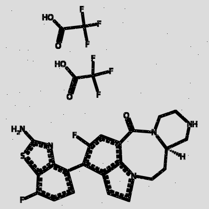 Nc1nc2c(-c3c(F)cc4c5c3ccn5CC[C@@H]3CNCCN3C4=O)ccc(F)c2s1.O=C(O)C(F)(F)F.O=C(O)C(F)(F)F